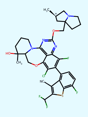 C[C@H]1CN2CCCC2(COc2nc3c4c(c(Cl)c(-c5ccc(F)c6sc(C(F)F)c(C#N)c56)c(F)c4n2)OCC2N3CCCC2(C)O)C1